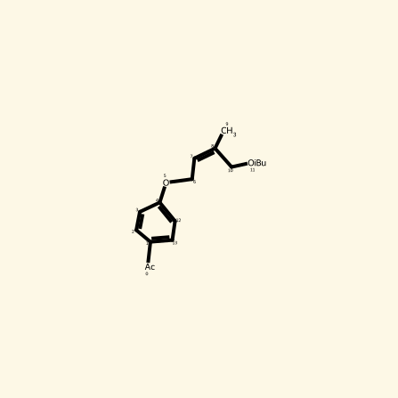 CC(=O)c1ccc(OCC=C(C)COCC(C)C)cc1